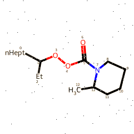 CCCCCCCC(CC)OOC(=O)N1CCCCC1C